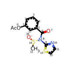 CC(=O)Oc1cccc(C(=O)N(c2nccs2)[S+](C)[O-])c1